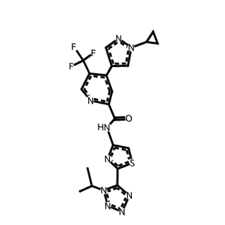 CC(C)n1nnnc1-c1nc(NC(=O)c2cc(-c3cnn(C4CC4)c3)c(C(F)(F)F)cn2)cs1